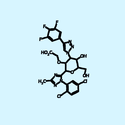 Cc1nc(C2OC(CO)C(O)C(n3cc(-c4cc(F)c(F)c(F)c4)nn3)C2OCC(=O)O)n(-c2cc(Cl)ccc2Cl)n1